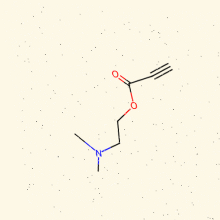 C#CC(=O)OCCN(C)C